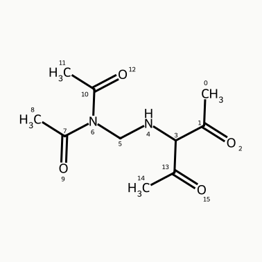 CC(=O)C(NCN(C(C)=O)C(C)=O)C(C)=O